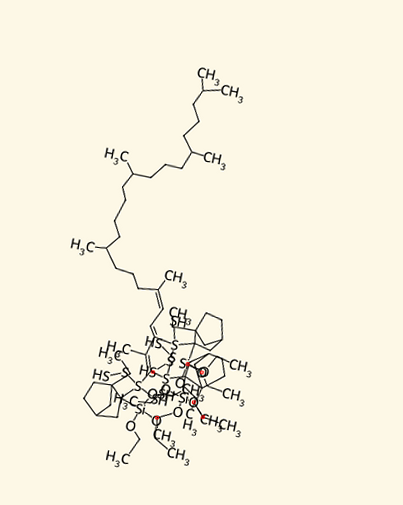 CCO[Si](OCC)(OCC)C1(S(S)(SS)C(=CC=C(C)CCCC(C)CCCCC(C)CCCC(C)CCCC(C)C)C(C)=C(S(S)(SS)C2([Si](OCC)(OCC)OCC)CC3CCC2(CC)C3)S(S)(SS)C2([Si](OCC)(OCC)OCC)CC3CCC2(CC)C3)CC2CCC1(CC)C2